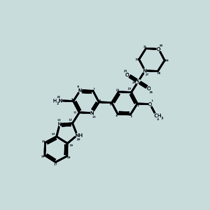 COc1ccc(-c2cnc(N)c(-c3nc4ccccc4[nH]3)n2)cc1S(=O)(=O)N1CCOCC1